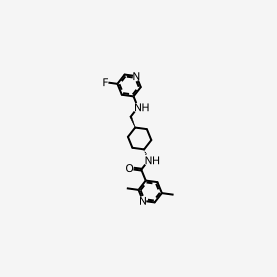 Cc1cnc(C)c(C(=O)N[C@H]2CC[C@H](CNc3cncc(F)c3)CC2)c1